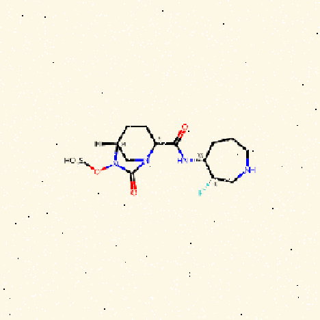 O=C(N[C@@H]1CCCNC[C@@H]1F)[C@@H]1CC[C@@H]2CN1C(=O)N2OS(=O)(=O)O